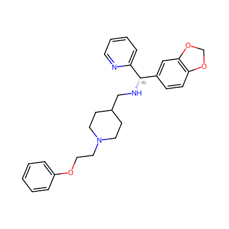 c1ccc(OCCN2CCC(CN[C@@H](c3ccc4c(c3)OCO4)c3ccccn3)CC2)cc1